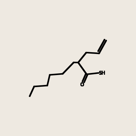 C=CCC(CCCCCC)C(=O)S